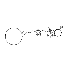 CC1(CCCCn2cc(CCC(=O)NC3(C)CC(N)CCCC3(C)N)nn2)CCCCCCCCCCCCCCCC1